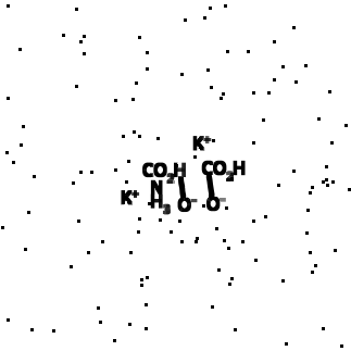 N.O=C([O-])O.O=C([O-])O.[K+].[K+]